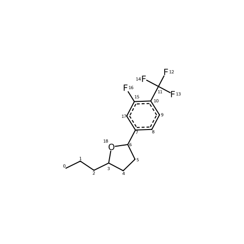 CCCC1CCC(c2ccc(C(F)(F)F)c(F)c2)O1